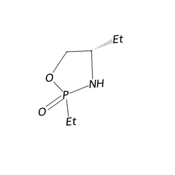 CC[C@H]1COP(=O)(CC)N1